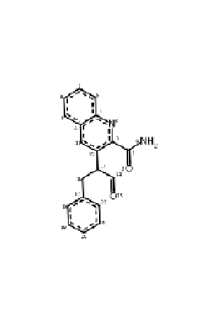 NC(=O)c1nc2ccccc2cc1C(C=O)Cc1ccccc1